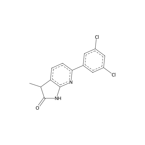 CC1C(=O)Nc2nc(-c3cc(Cl)cc(Cl)c3)ccc21